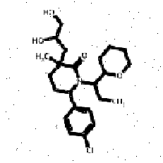 CCC(C1CCCCO1)N1C(=O)C(C)(CC(O)CO)CCC1c1ccc(Cl)cc1